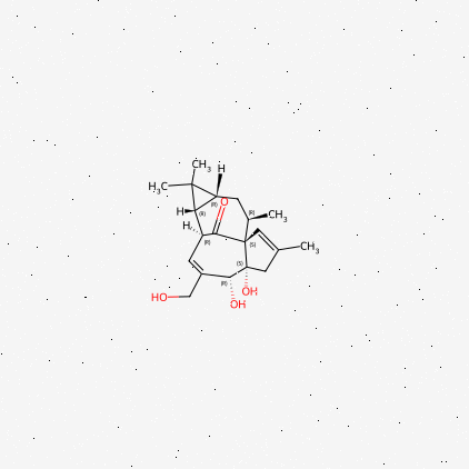 CC1=C[C@]23C(=O)[C@@H](C=C(CO)[C@@H](O)[C@]2(O)C1)[C@H]1[C@@H](C[C@H]3C)C1(C)C